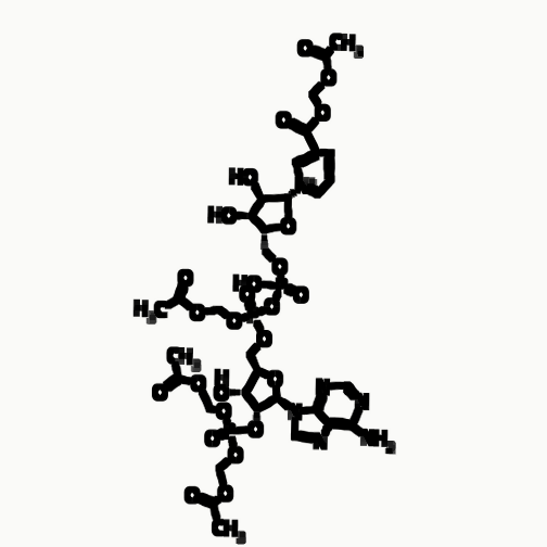 CC(=O)OCOC(=O)c1ccc[n+]([C@@H]2O[C@H](COP(=O)(O)OP(=O)(OCOC(C)=O)OC[C@H]3O[C@@H](n4cnc5c(N)ncnc54)[C@H](OP(=O)(OCOC(C)=O)OCOC(C)=O)[C@@H]3O)[C@@H](O)[C@H]2O)c1